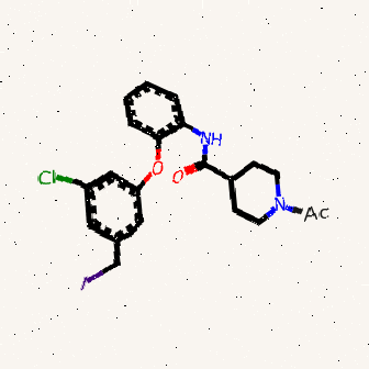 CC(=O)N1CCC(C(=O)Nc2ccccc2Oc2cc(Cl)cc(CI)c2)CC1